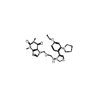 CCOc1ccc(C2=CSCN2NCOCn2cnc3c2c(=O)n(C)c(=O)n3C)c(N2CCCC2)c1